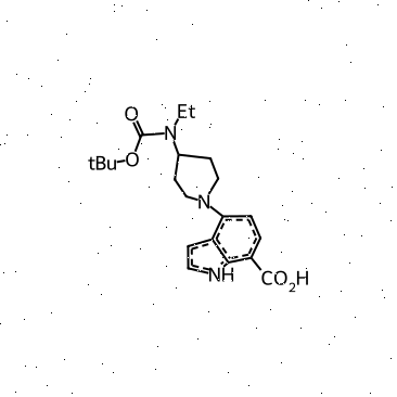 CCN(C(=O)OC(C)(C)C)C1CCN(c2ccc(C(=O)O)c3[nH]ccc23)CC1